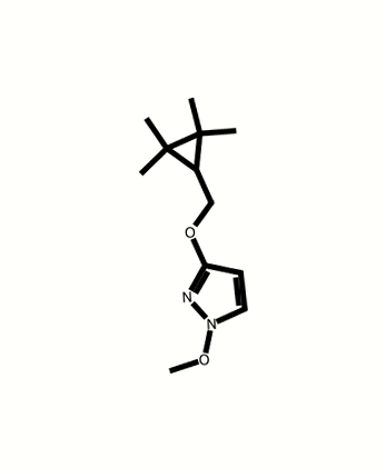 COn1ccc(OCC2C(C)(C)C2(C)C)n1